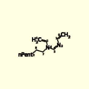 C=C/N=C\N(C=C)CCCCCCC